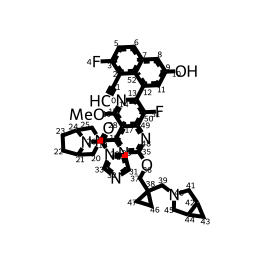 C#Cc1c(F)ccc2cc(O)cc(-c3nc(OC)c4c(N5CC6CCC(C5)N6C(=O)n5ccnc5)nc(OCC5(CN6CC7CC7C6)CC5)nc4c3F)c12